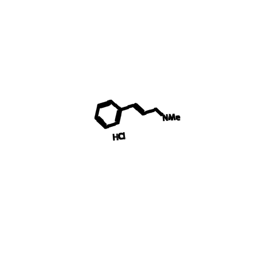 CNCC=Cc1ccccc1.Cl